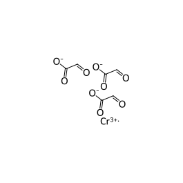 O=CC(=O)[O-].O=CC(=O)[O-].O=CC(=O)[O-].[Cr+3]